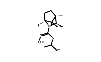 CC(C)C(C)S/C(=N\C=O)N1[C@H]2CC[C@@](C)([C@H]1C)C2(C)C